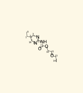 CCc1cnc(NC(=O)OCCOCI)nc1